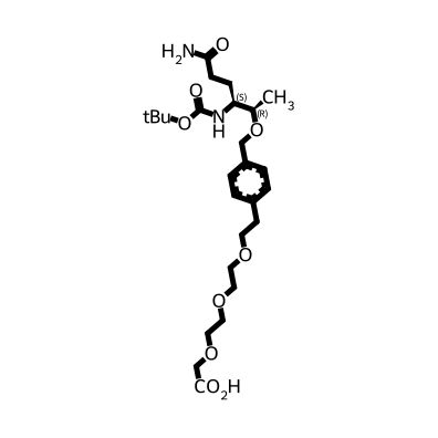 C[C@@H](OCc1ccc(CCOCCOCCOCC(=O)O)cc1)[C@H](CCC(N)=O)NC(=O)OC(C)(C)C